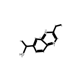 CCc1cnc2ccc(C(C)O)cc2n1